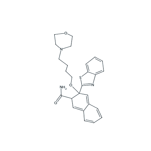 NC(=O)C1C=c2ccccc2=CC1(OCCCCN1CCOCC1)c1nc2ccccc2s1